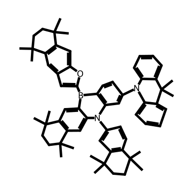 CC1(C)CCC(C)(C)c2cc(N3c4cc(N5c6ccccc6C(C)(C)c6ccccc65)ccc4B(c4cc5cc6c(cc5o4)C(C)(C)CCC6(C)C)c4cc5c(cc43)C(C)(C)CCC5(C)C)ccc21